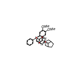 COc1cc2ncnc(N3CC4CCC(C3)N4c3ncc(Cc4ccccc4)cn3)c2cc1OC